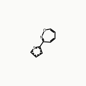 C1=CON=C(c2cccs2)C=C1